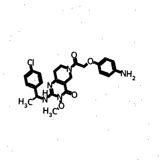 COn1c(N[C@@H](C)c2ccc(Cl)cc2)nc2c(c1=O)CN(C(=O)COc1ccc(N)cc1)CC2